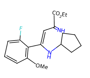 CCOC(=O)C(=N)/C=C(\NC1CCCC1)c1c(F)cccc1OC